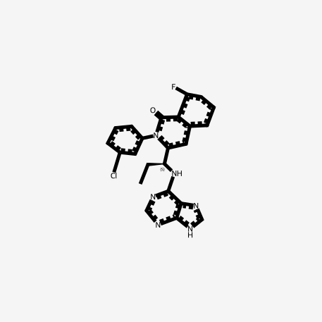 CC[C@H](Nc1ncnc2[nH]cnc12)c1cc2cccc(F)c2c(=O)n1-c1cccc(Cl)c1